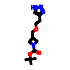 CC(C)(C)OC(=O)N1CC(COCCc2c[nH]nn2)C1